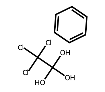 OC(O)(O)C(Cl)(Cl)Cl.c1ccccc1